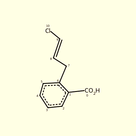 O=C(O)c1ccccc1CC=CCl